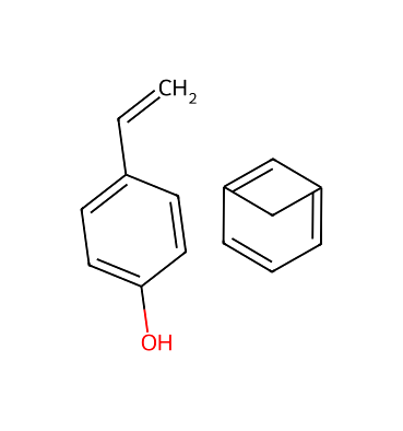 C=Cc1ccc(O)cc1.c1cc2cc(c1)C2